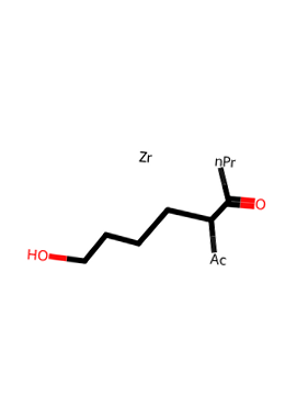 CCCC(=O)C(CCCCO)C(C)=O.[Zr]